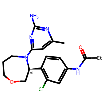 CCC(=O)Nc1ccc([C@H]2COCCCN2c2cc(C)nc(N)n2)c(Cl)c1